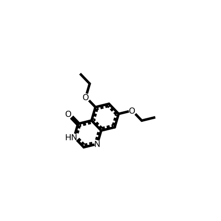 CCOc1cc(OCC)c2c(=O)[nH]cnc2c1